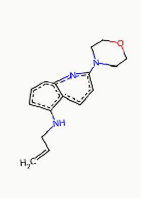 C=CCNc1cccc2nc(N3CCOCC3)ccc12